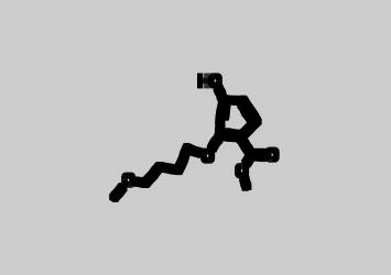 COCCCCOc1cc(O)ccc1C(=O)OC